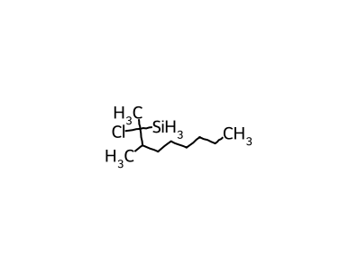 CCCCCCC(C)C(C)([SiH3])Cl